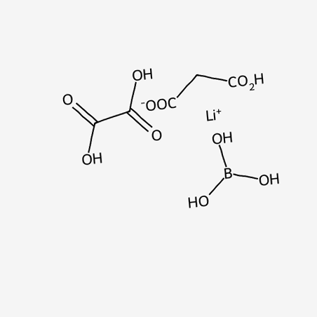 O=C(O)C(=O)O.O=C([O-])CC(=O)O.OB(O)O.[Li+]